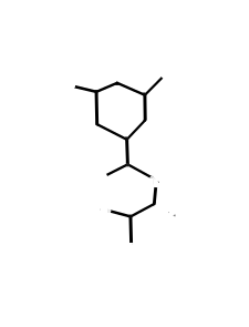 CC(C)C1CC(Cl)CC(C(C)N[C@H](C(C)C)C(C)O)C1